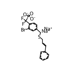 O=P([O-])([O-])C(F)(F)c1ccc(CSCC=Cc2ccccc2)cc1Br.[Na+].[Na+]